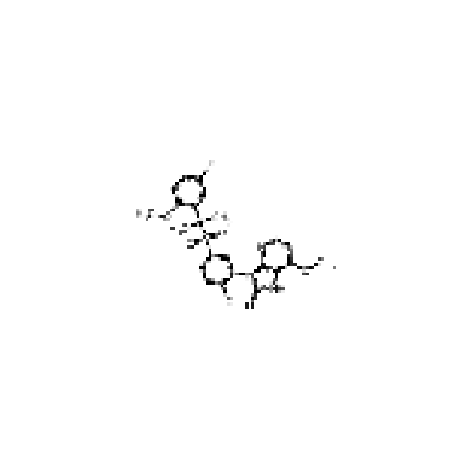 COc1ccc(F)cc1C(C)(C)S(=O)(=O)c1ccc(Cl)c(-n2c(=O)[nH]c3c(OC)ncnc32)c1